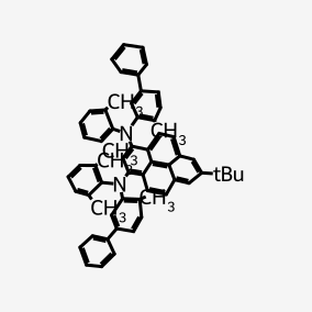 Cc1ccc(-c2ccccc2)cc1N(c1c(C)cccc1C)c1cc(N(c2cc(-c3ccccc3)ccc2C)c2c(C)cccc2C)c2ccc3cc(C(C)(C)C)cc4ccc1c2c43